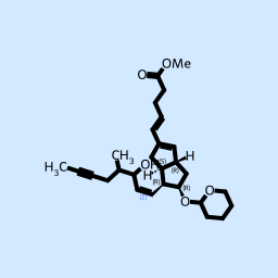 CC#CCC(C)C(O)/C=C\[C@H]1[C@H]2CC(C=CCCC(=O)OC)=C[C@@H]2C[C@H]1OC1CCCCO1